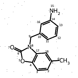 Cc1ccc2oc(=O)n(Cc3cccc(N)c3)c2c1